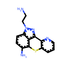 NCCn1nc2c3c(c(N)ccc31)Sc1cccnc1-2